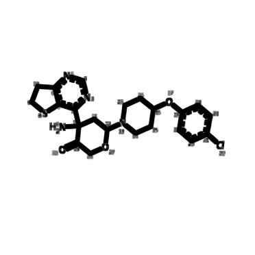 NC1(c2ncnc3c2SCC3)CC(N2CCC(Oc3ccc(Cl)cc3)CC2)OCC1=O